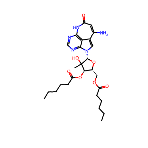 CCCCCC(=O)OC[C@H]1O[C@@H](n2cc3c4c(ncnc42)NC(=O)C=C3N)C(C)(O)[C@@H]1OC(=O)CCCCC